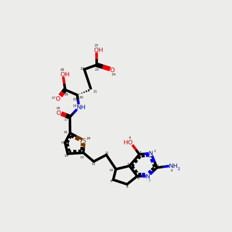 Nc1nc(O)c2c(n1)CCC2CCc1ccc(C(=O)N[C@@H](CCC(=O)O)C(=O)O)s1